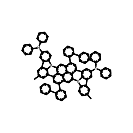 Cc1ccc2c(c1)-c1cc(N(c3ccccc3)c3ccccc3)cc3c1B2c1cc2c(-c4ccccc4-c4ccccc4)cc4c5c(cc6c(-c7ccccc7-c7ccccc7)cc-3c1c6c25)B1c2ccc(N(c3ccccc3)c3ccccc3)cc2-c2cc(C)cc-4c21